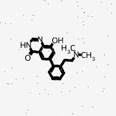 CN(C)CCc1ccccc1-c1cc(O)c2nc[nH]c(=O)c2c1